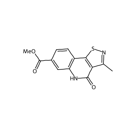 COC(=O)c1ccc2c(c1)[nH]c(=O)c1c(C)nsc12